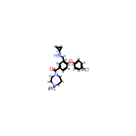 CC(C)N1CCCN(C(=O)c2ccc(Oc3ccc(Cl)cc3)c(CNC3CC3)c2)CC1